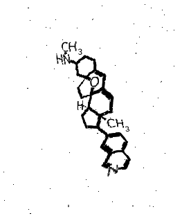 CNC1CCC2=CC3=CC[C@]4(C)C(c5ccc6ccncc6c5)CC[C@H]4[C@@]34CC[C@]2(C1)O4